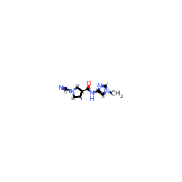 Cn1cnc(NC(=O)[C@H]2CCN(C#N)C2)c1